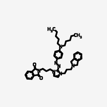 CCCCCN(CCCCC)c1ccc(/N=N/c2n(CCCN3Cc4ccccc4C3)cc[n+]2CCCN2C(=O)c3ccccc3C2=O)cc1